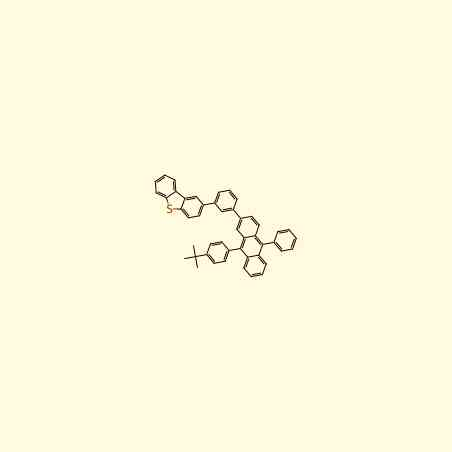 CC(C)(C)c1ccc(-c2c3ccccc3c(-c3ccccc3)c3ccc(-c4cccc(-c5ccc6sc7ccccc7c6c5)c4)cc23)cc1